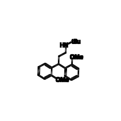 COc1ccccc1C(CCNC(C)(C)C)c1ccccc1OC